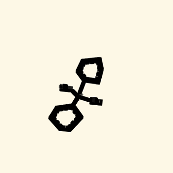 CC(C)(C)[I+](c1ccccc1)(c1ccccc1)C(C)(C)C